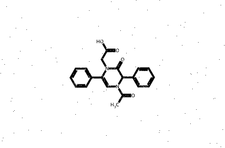 CC(=O)N1C=C(c2ccccc2)N(CC(=O)O)C(=O)C1c1ccccc1